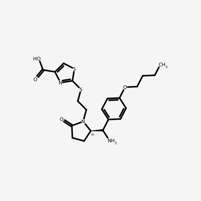 CCCCOc1ccc(C(N)[C@H]2CCC(=O)N2CCSc2nc(C(=O)O)cs2)cc1